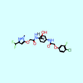 Cn1nc(C(F)F)cc1OCC(=O)NC12CCC(NC(=O)COc3ccc(Cl)c(F)c3)(CC1)C[C@@H]2O